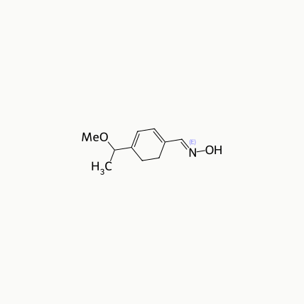 COC(C)C1=CC=C(/C=N/O)CC1